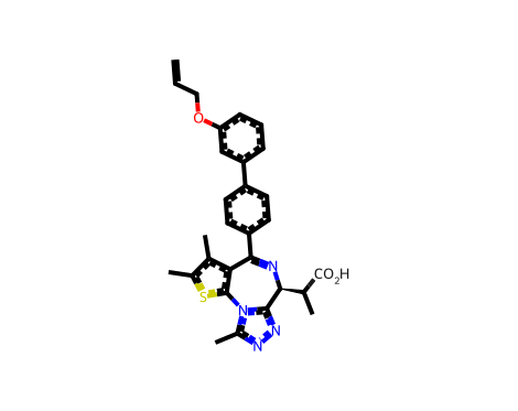 C=CCOc1cccc(-c2ccc(C3=N[C@@H](C(C)C(=O)O)c4nnc(C)n4-c4sc(C)c(C)c43)cc2)c1